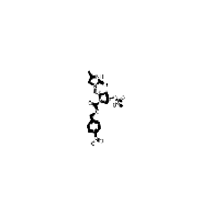 CC1CN(C[C@@H]2C[C@@H](OS(C)(=O)=O)CN2C(=O)OCc2ccc([N+](=O)[O-])cc2)C(=O)N1